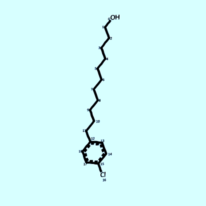 OCCCCCCCCCCCc1ccc(Cl)cc1